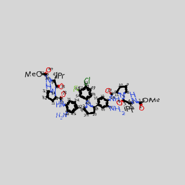 COC(=O)N[C@H](C(=O)N1CCC[C@H]1C(=O)Nc1ccc([C@H]2CC[C@H](c3ccc(NC(=O)[C@@H]4CCCN4C(=O)[C@@H](NC(=O)OC)C(C)C)c(N)c3)N2c2ccc(Cl)c(F)c2)cc1N)C(C)C